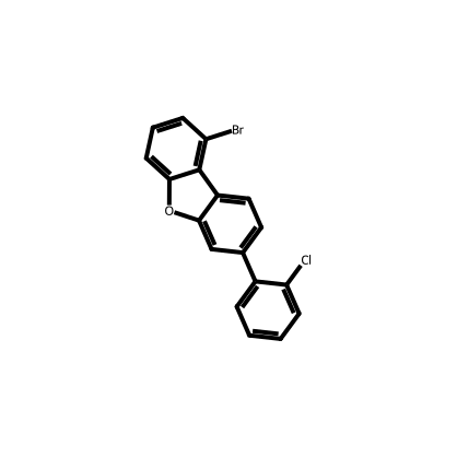 Clc1ccccc1-c1ccc2c(c1)oc1cccc(Br)c12